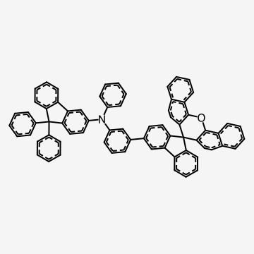 c1ccc(N(c2cccc(-c3ccc4c(c3)-c3ccccc3C43c4ccc5ccccc5c4Oc4c3ccc3ccccc43)c2)c2ccc3c(c2)-c2ccccc2C3(c2ccccc2)c2ccccc2)cc1